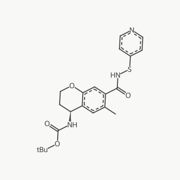 Cc1cc2c(cc1C(=O)NSc1ccncc1)OCC[C@@H]2NC(=O)OC(C)(C)C